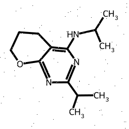 CC(C)Nc1nc(C(C)C)nc2c1CCCO2